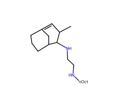 CCCCCCCCNCCNC1C(C)C=C2CCCC1C2